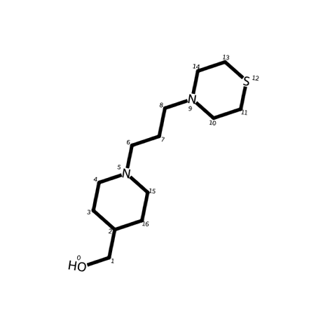 OCC1CCN(CCCN2CCSCC2)CC1